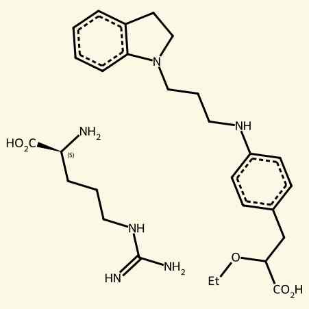 CCOC(Cc1ccc(NCCCN2CCc3ccccc32)cc1)C(=O)O.N=C(N)NCCC[C@H](N)C(=O)O